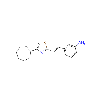 Nc1cccc(/C=C/c2nc(C3CCCCCC3)cs2)c1